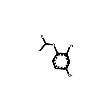 C[C](C)c1cc(C#N)ccc1OC(F)F